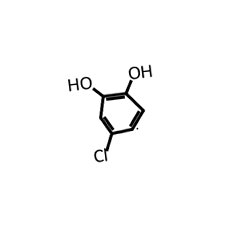 Oc1c[c]c(Cl)cc1O